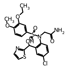 CCOc1cc(S(=O)(=O)N(CC(N)=O)c2ccc(Cl)cc2C(O)c2nccs2)ccc1OC